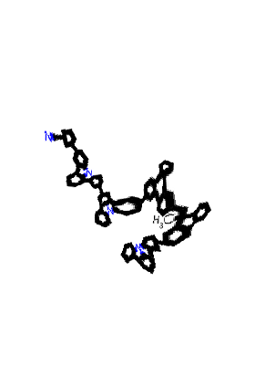 CC1(Cc2ccc3c(c2)c2ccccc2c2ccc(-c4ccc5c(c4)c4cc(-c6ccc7c(c6)c6cccc8c9cc(-c%10cccc(C#N)c%10)ccc9n7c86)cc6c7ccccc7n5c64)cc23)c2ccccc2-c2ccc(-c3ccc4c(c3)c3cccc5c6ccccc6n4c53)cc21